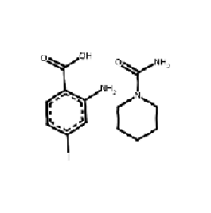 NC(=O)N1CCCCC1.Nc1cc(I)ccc1C(=O)O